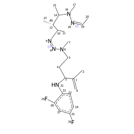 C=C(C)C(CCN(C)/N=N\C(C)[C@H](C)C(C)N(C)/N=C\C)Nc1ccc(F)cc1F